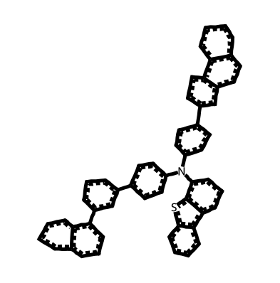 c1cc(-c2ccc(N(c3ccc(-c4ccc5c(ccc6ccccc65)c4)cc3)c3cccc4c3sc3ccccc34)cc2)cc(-c2cccc3ccccc23)c1